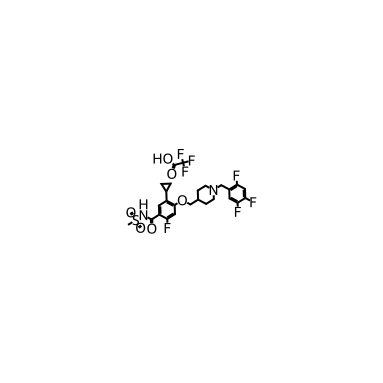 CS(=O)(=O)NC(=O)c1cc(C2CC2)c(OCC2CCN(Cc3cc(F)c(F)cc3F)CC2)cc1F.O=C(O)C(F)(F)F